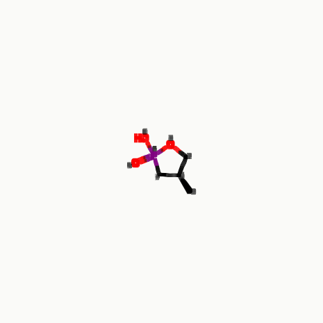 C[C@@H]1COP(=O)(O)C1